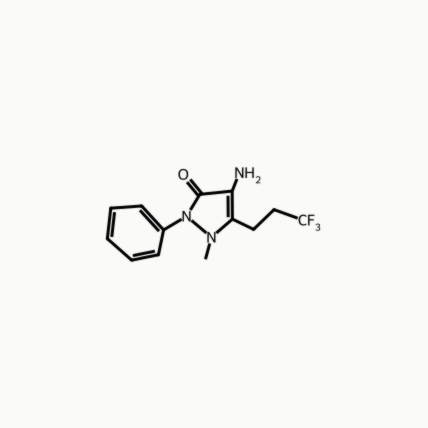 Cn1c(CCC(F)(F)F)c(N)c(=O)n1-c1ccccc1